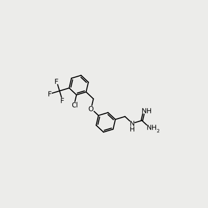 N=C(N)NCc1cccc(OCc2cccc(C(F)(F)F)c2Cl)c1